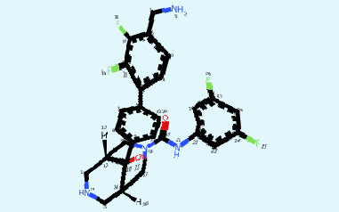 NCc1ccc(-c2ccc(C3(O)[C@@H]4CNC[C@H]3CN(C(=O)Nc3cc(F)cc(F)c3)C4)cc2)c(F)c1F